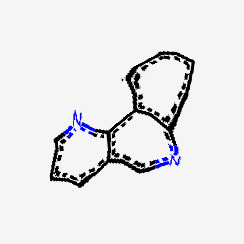 [c]1cccc2ncc3cccnc3c12